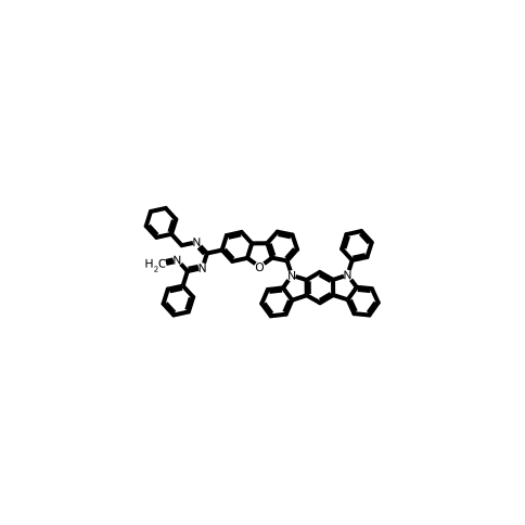 C=N/C(=N\C(=N/CC1=CCCC=C1)C1=CC2Oc3c(cccc3-n3c4ccccc4c4cc5c6ccccc6n(-c6ccccc6)c5cc43)C2C=C1)c1ccccc1